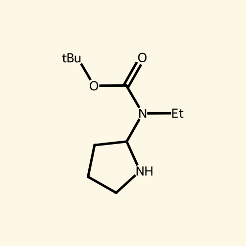 CCN(C(=O)OC(C)(C)C)C1CCCN1